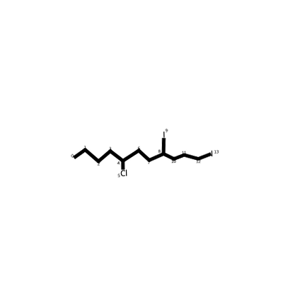 CCCCC(Cl)CCC(I)CCCI